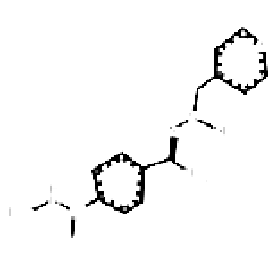 CN[S+]([O-])c1ccc(/C(N)=N/N(N)Cc2ccncc2)cc1